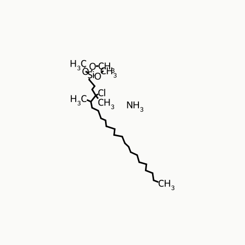 CCCCCCCCCCCCCCCCCCC(C)C(C)(Cl)CCC[Si](OC)(OC)OC.N